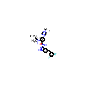 COCC(C)(C)Nc1cc(N2CCN(C)CC2)ccc1C(=O)Nc1n[nH]c2ccc(Cc3cc(F)cc(F)c3)cc12